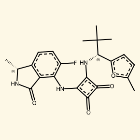 Cc1ccc([C@H](Nc2c(Nc3c(F)ccc4c3C(=O)N[C@@H]4C)c(=O)c2=O)C(C)(C)C)o1